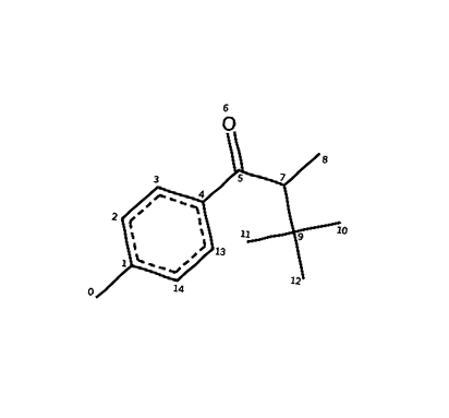 Cc1ccc(C(=O)C(C)C(C)(C)C)cc1